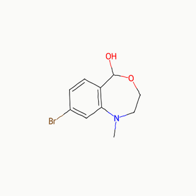 CN1CCOC(O)c2ccc(Br)cc21